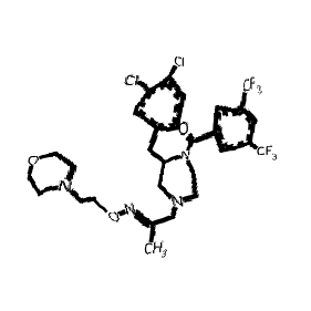 CC(CN1CCN(C(=O)c2cc(C(F)(F)F)cc(C(F)(F)F)c2)C(Cc2ccc(Cl)c(Cl)c2)C1)=NOCCN1CCOCC1